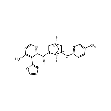 Cc1ccnc(C(=O)N2C[C@H]3C[C@@H](Oc4ccc(C(F)(F)F)cn4)[C@@H]2C3)c1-c1ncco1